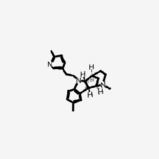 Cc1ccc2c(c1)[C@@H]1[C@@H]([C@H]3CCN(C)[C@@H]1C3)N2CCc1ccc(C)nc1